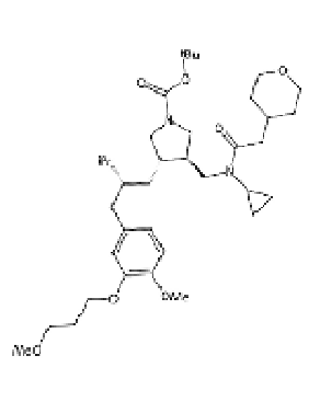 COCCCOc1cc(C[C@@H](C[C@@H]2CN(C(=O)OC(C)(C)C)C[C@H]2CN(C(=O)CC2CCOCC2)C2CC2)C(C)C)ccc1OC